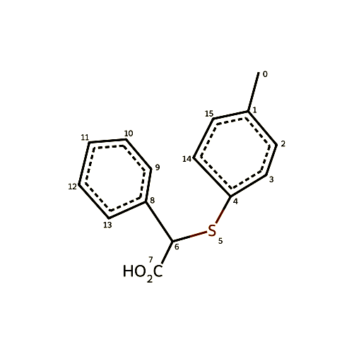 Cc1ccc(SC(C(=O)O)c2ccccc2)cc1